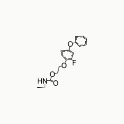 CCNC(=O)OCCOc1ccc(Oc2ccccc2)cc1F